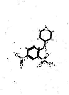 NS(=O)(=O)c1cc([N+](=O)[O-])ccc1OC1CCOCC1